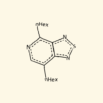 CCCCCCc1cnc(CCCCCC)c2nsnc12